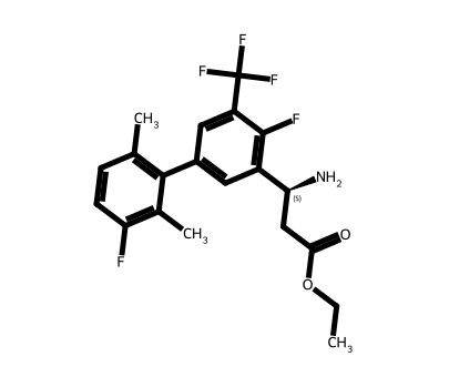 CCOC(=O)C[C@H](N)c1cc(-c2c(C)ccc(F)c2C)cc(C(F)(F)F)c1F